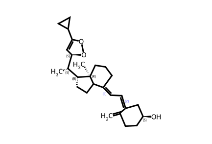 C=C1CC[C@H](O)C/C1=C/C=C1\CCC[C@@]2(C)C1CC[C@@H]2[C@H](C)[C@H]1C=C(C2CC2)OO1